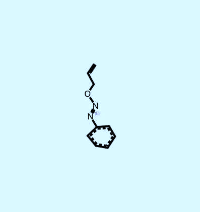 C=CCO/N=N/c1ccccc1